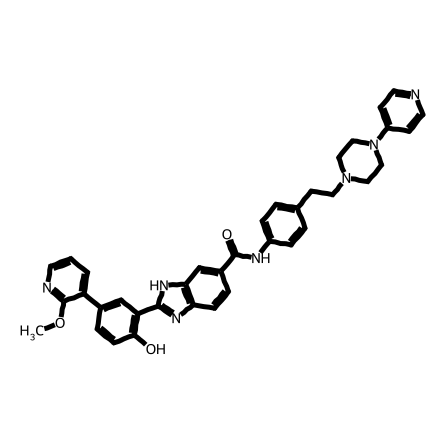 COc1ncccc1-c1ccc(O)c(-c2nc3ccc(C(=O)Nc4ccc(CCN5CCN(c6ccncc6)CC5)cc4)cc3[nH]2)c1